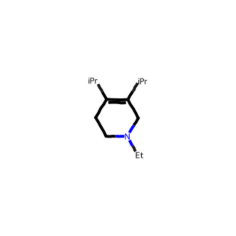 CCN1CCC(C(C)C)=C(C(C)C)C1